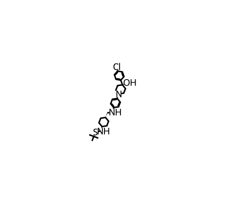 CC(C)(C)SN[C@H]1CC[C@H](CNc2ccc(N3CCC(O)(c4ccc(Cl)cc4)CC3)cc2)CC1